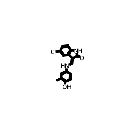 Cc1cc(N/C=C2/C(=O)Nc3ccc(Cl)cc32)ccc1O